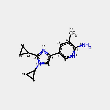 Nc1ncc(-c2cn(C3CC3)c(C3CC3)n2)cc1C(F)(F)F